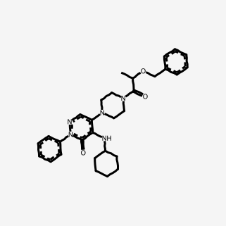 CC(OCc1ccccc1)C(=O)N1CCN(c2cnn(-c3ccccc3)c(=O)c2NC2CCCCC2)CC1